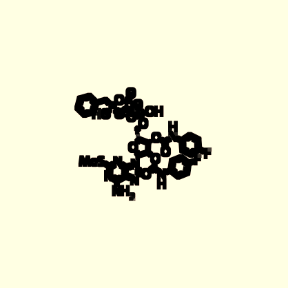 CSc1nc(N)c2ncn([C@@H]3O[C@H](COP(=O)(O)OP(=O)(O)OP(=O)(O)Cc4ccccc4)[C@H](OC(=O)Nc4ccc(F)cc4)C3OC(=O)Nc3ccc(F)cc3)c2n1